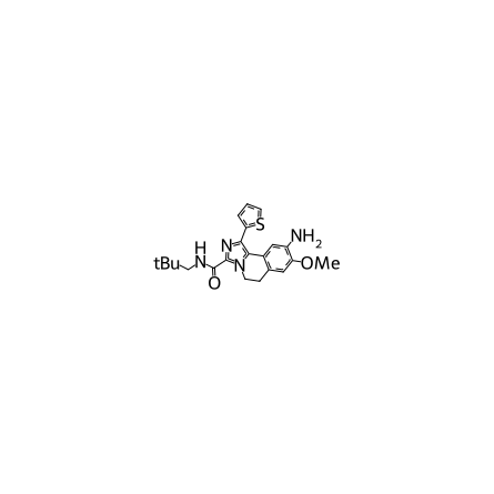 COc1cc2c(cc1N)-c1c(-c3cccs3)nc(C(=O)NCC(C)(C)C)n1CC2